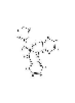 C/C=C\C(=C/C)OP(=O)(Oc1ccccc1)Oc1ccccc1